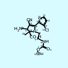 CC(C)(C)OC(=O)NCCN1C(c2sccc2Cl)=C(C#N)C(N)C1(C)C(=O)O